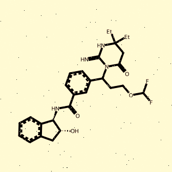 CCC1(CC)CC(=O)N(C(CCOC(F)F)c2cccc(C(=O)N[C@@H]3c4ccccc4C[C@H]3O)c2)C(=N)N1